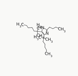 CCCCCC(C)(C)c1nc(CCCC)[nH]c1C(C)(C)CCCCC